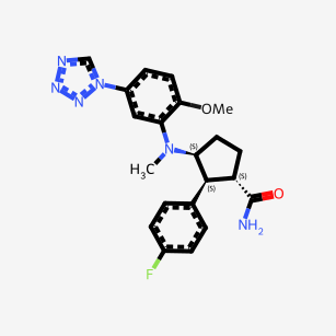 COc1ccc(-n2cnnn2)cc1N(C)[C@H]1CC[C@H](C(N)=O)[C@H]1c1ccc(F)cc1